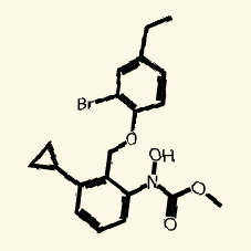 CCc1ccc(OCc2c(C3CC3)cccc2N(O)C(=O)OC)c(Br)c1